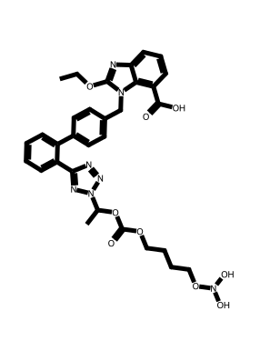 CCOc1nc2cccc(C(=O)O)c2n1Cc1ccc(-c2ccccc2-c2nnn(C(C)OC(=O)OCCCCON(O)O)n2)cc1